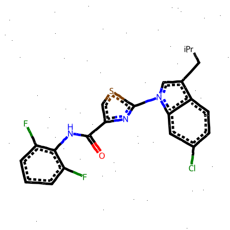 CC(C)Cc1cn(-c2nc(C(=O)Nc3c(F)cccc3F)cs2)c2cc(Cl)ccc12